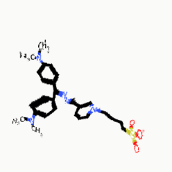 CN(C)c1ccc(C(=NN=Cc2ccc[n+](CCCCS(=O)(=O)[O-])c2)c2ccc(N(C)C)cc2)cc1